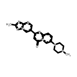 Cc1nc2ncc(-c3cc(=O)n4cc(N5CCN(C)CC5)ccc4n3)cn2n1